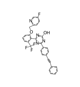 Oc1nc(-c2ccc(C#Cc3ccccc3)cc2)nc(-c2c(OCc3ccc(F)cn3)cccc2C(F)(F)F)n1